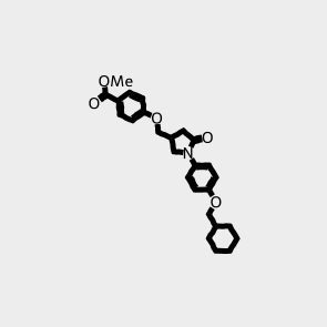 COC(=O)c1ccc(OCC2CC(=O)N(c3ccc(OCC4CCCCC4)cc3)C2)cc1